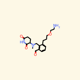 CN(Cc1c(C=O)cccc1CCCOCCN)C1CCC(=O)NC1=O